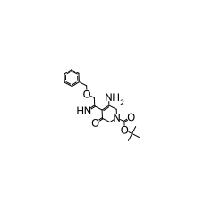 CC(C)(C)OC(=O)N1CC(=O)C(C(=N)COCc2ccccc2)=C(N)C1